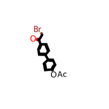 CC(=O)Oc1ccc(-c2ccc(C(=O)CBr)cc2)cc1